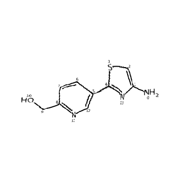 Nc1csc(-c2ccc(CO)nc2)n1